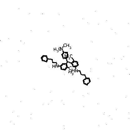 Cc1ccc(NCCCc2ccccc2)cc1C(c1ccc(N(C)C)cc1)c1cc(NCCCc2ccccc2)ccc1C